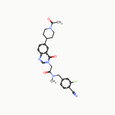 CC(=O)N1CCC(c2ccc3ncn(CC(=O)N(C)Cc4ccc(C#N)c(F)c4)c(=O)c3c2)CC1